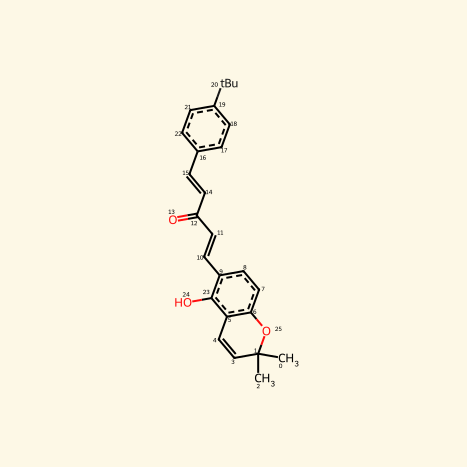 CC1(C)C=Cc2c(ccc(C=CC(=O)C=Cc3ccc(C(C)(C)C)cc3)c2O)O1